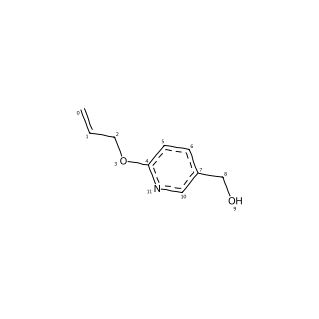 C=CCOc1ccc(CO)cn1